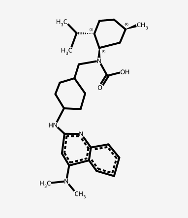 CC(C)[C@@H]1CC[C@@H](C)C[C@H]1N(CC1CCC(Nc2cc(N(C)C)c3ccccc3n2)CC1)C(=O)O